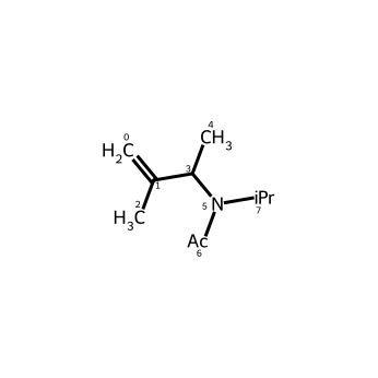 C=C(C)C(C)N(C(C)=O)C(C)C